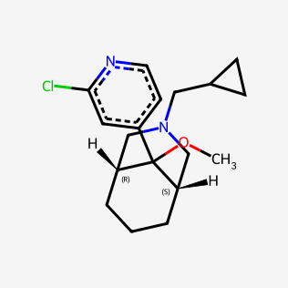 COC1(c2ccnc(Cl)c2)[C@@H]2CCC[C@H]1CN(CC1CC1)C2